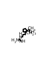 CN(C)C1CCCC1(C)[CH]CCNC(=N)N